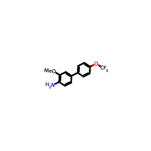 COc1cc(-c2ccc(OC(F)(F)F)cc2)ccc1N